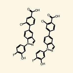 O=C(O)c1ccc(-c2ccc3c(cnn3-c3ccc(F)c(O)c3)c2)c(Cl)c1.O=C(O)c1ccc(-c2ccc3c(cnn3-c3ccc(F)c(O)c3)c2)cc1Cl